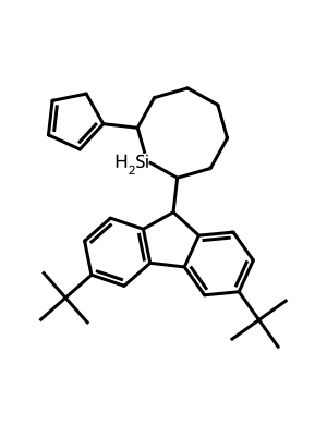 CC(C)(C)c1ccc2c(c1)-c1cc(C(C)(C)C)ccc1C2C1CCCCCC(C2=CC=CC2)[SiH2]1